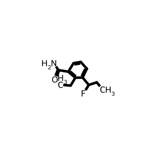 CCc1c(C(N)=O)cccc1C(F)CC